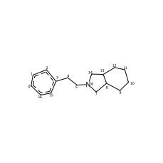 c1ccc(CCN2CC3CCCCC3C2)cc1